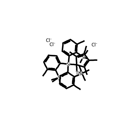 CC1=C(C)[C]([Ti+3])([Si](c2cccc(C)c2[Si](C)(C)C)(c2cccc(C)c2[Si](C)(C)C)c2cccc(C)c2[Si](C)(C)C)C(C)=C1C.[Cl-].[Cl-].[Cl-]